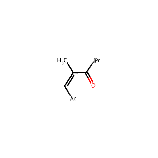 CC(=O)/C=C(/C)C(=O)C(C)C